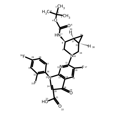 CC(C)(C)OC(=O)N[C@@H]1CN(c2nc3c(cc2F)c(=O)c(C(=O)O)cn3-c2ccc(F)cc2F)C[C@@H]2C[C@@H]21